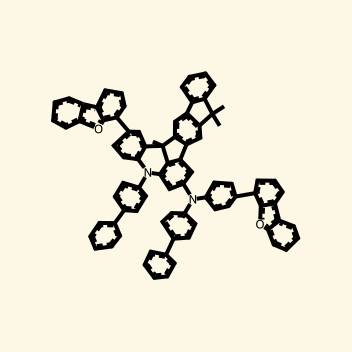 CC1(C)c2ccccc2-c2cc3c(cc21)-c1cc(N(c2ccc(-c4ccccc4)cc2)c2ccc(-c4cccc5c4oc4ccccc45)cc2)cc2c1C3(C)c1cc(-c3cccc4c3oc3ccccc34)ccc1N2c1ccc(-c2ccccc2)cc1